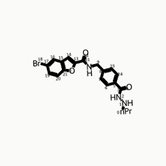 CCCNNC(=O)c1ccc(CNC(=O)c2cc3cc(Br)ccc3o2)cc1